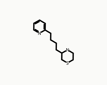 c1ccc(CCCCC2CSCC[N]2)nc1